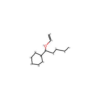 C=COC(CCCC)C1CCCCC1